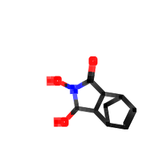 O=C1C2C3C=CC(C3)C2C(O)N1O